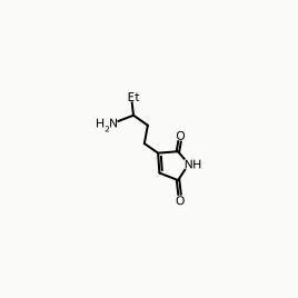 CCC(N)CCC1=CC(=O)NC1=O